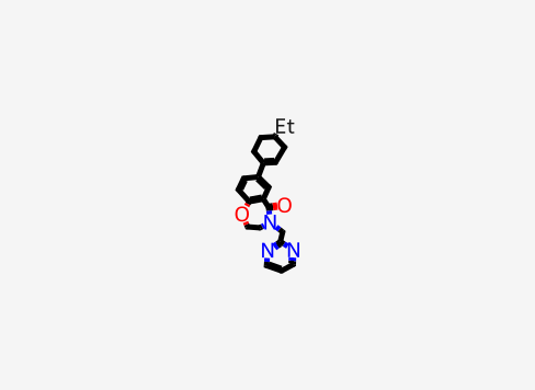 CCC1CC=C(c2ccc3c(c2)C(=O)N(Cc2ncccn2)CCO3)CC1